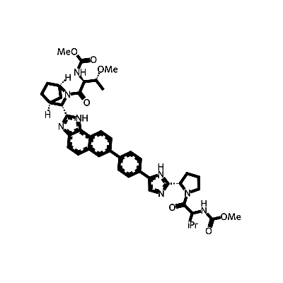 COC(=O)NC(C(=O)N1CCC[C@H]1c1ncc(-c2ccc(-c3ccc4c(ccc5nc([C@@H]6[C@H]7CC[C@H](C7)N6C(=O)[C@@H](NC(=O)OC)[C@@H](C)OC)[nH]c54)c3)cc2)[nH]1)C(C)C